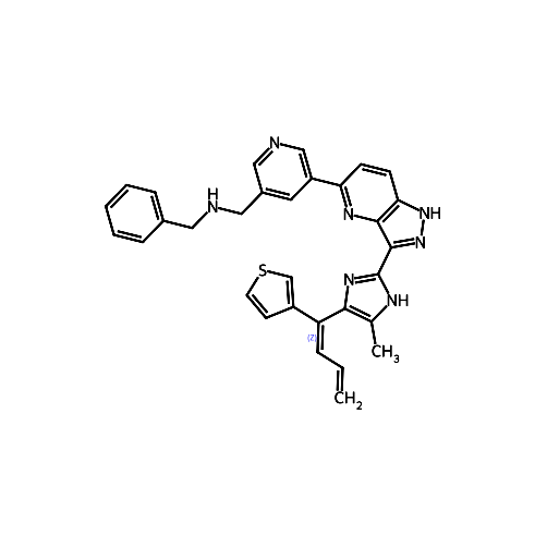 C=C/C=C(/c1ccsc1)c1nc(-c2n[nH]c3ccc(-c4cncc(CNCc5ccccc5)c4)nc23)[nH]c1C